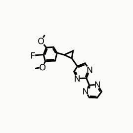 COc1cc(C2CC2c2cnc(-c3ncccn3)nc2)cc(OC)c1F